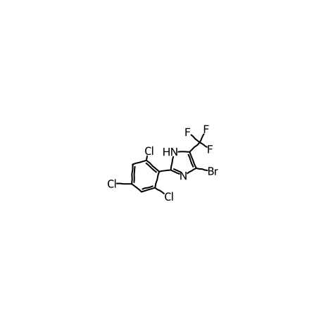 FC(F)(F)c1[nH]c(-c2c(Cl)cc(Cl)cc2Cl)nc1Br